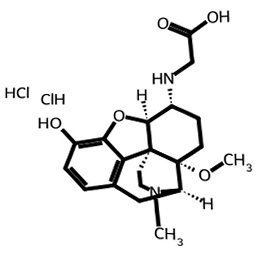 CO[C@@]12CC[C@@H](NCC(=O)O)[C@@H]3Oc4c(O)ccc5c4[C@@]31CCN(C)[C@@H]2C5.Cl.Cl